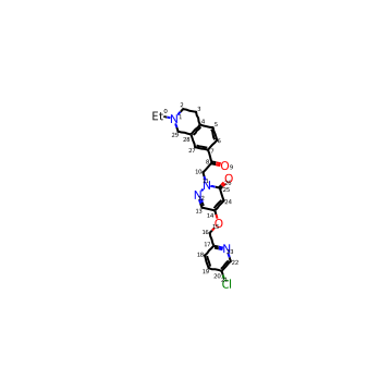 CCN1CCc2ccc(C(=O)Cn3ncc(OCc4ccc(Cl)cn4)cc3=O)cc2C1